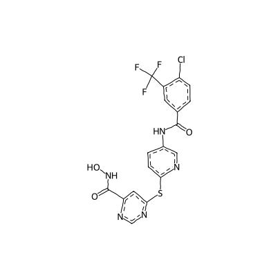 O=C(Nc1ccc(Sc2cc(C(=O)NO)ncn2)nc1)c1ccc(Cl)c(C(F)(F)F)c1